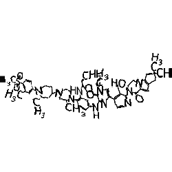 C=CC(=O)Nc1cc(Nc2nc(-c3ccnc(N4CCn5c(cc6c5CC(C)(C)C6)C4=O)c3CO)cn(C)c2=O)ccc1N1CCN(C2CCN(c3ccc(S(C)(=O)=O)c(C)c3)[C@@H](C)C2)C[C@@H]1C